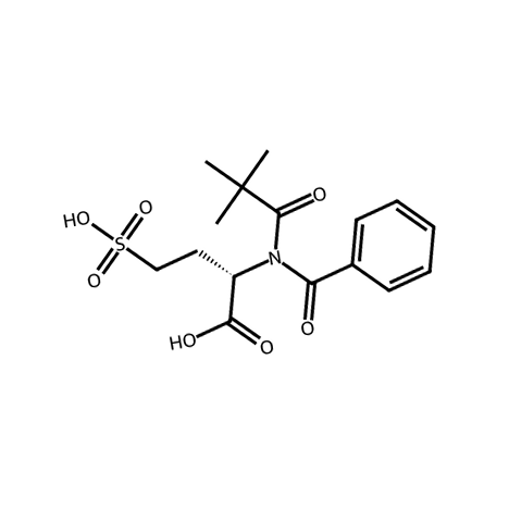 CC(C)(C)C(=O)N(C(=O)c1ccccc1)[C@@H](CCS(=O)(=O)O)C(=O)O